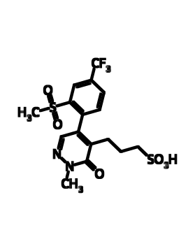 Cn1ncc(-c2ccc(C(F)(F)F)cc2S(C)(=O)=O)c(CCCS(=O)(=O)O)c1=O